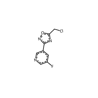 Fc1cncc(-c2noc(CCl)n2)c1